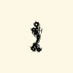 O=C(c1ccccc1)c1ccccc1N[C@@H](Cc1ccc(OCCCN(Cc2ccccc2)C(=O)Cc2cccnc2)cc1)C(=O)O